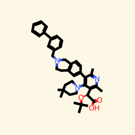 Cc1nc(C)c([C@H](OC(C)(C)C)C(=O)O)c(N2CCC(C)(C)CC2)c1-c1ccc2c(c1)CCN(Cc1cccc(-c3ccccc3)c1)C2